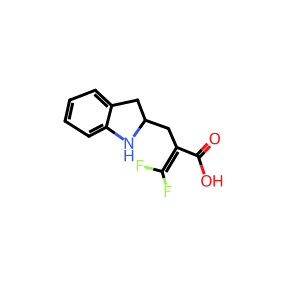 O=C(O)C(CC1Cc2ccccc2N1)=C(F)F